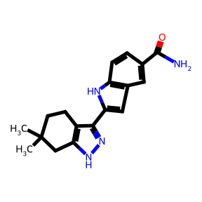 CC1(C)CCc2c(-c3cc4cc(C(N)=O)ccc4[nH]3)n[nH]c2C1